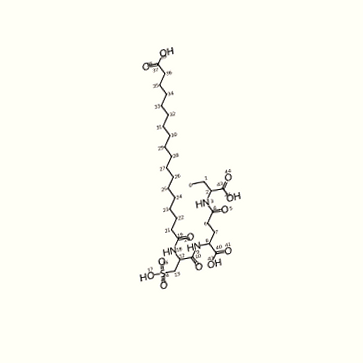 CCC(NC(=O)CCC(NC(=O)C(CS(=O)(=O)O)NC(=O)CCCCCCCCCCCCCCCCC(=O)O)C(=O)O)C(=O)O